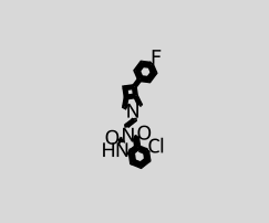 O=c1[nH]c2cccc(Cl)c2c(=O)n1CCN1CC2CC(c3ccc(F)cc3)C2C1